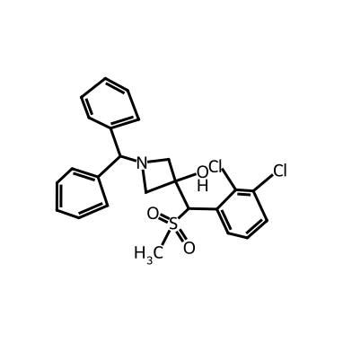 CS(=O)(=O)C(c1cccc(Cl)c1Cl)C1(O)CN(C(c2ccccc2)c2ccccc2)C1